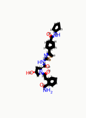 NC(=O)c1ccccc1[CH]C(=O)N1C[C@@H](O)C[C@H]1C(=O)Nc1nc(-c2ccc(C(=O)NC3CCCC3)cc2)cs1